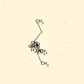 CCCCCCCC/C=C\CCCCCCCC(=O)O[C@@H](CO)C(OP(=O)([O-])OCC[N+](C)(C)C)C(=O)CCCCCCCCCCCCC